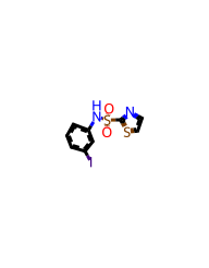 O=S(=O)(Nc1cccc(I)c1)c1nccs1